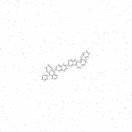 c1ccc(-c2c3ccccc3c(-c3ccc4cc(-c5ccc6oc7c(ccc8ccc9c%10ccccc%10oc9c87)c6c5)ccc4c3)c3ccccc23)cc1